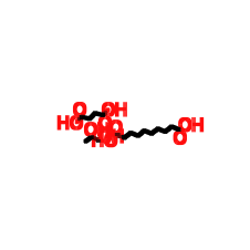 CC(O)CO.O=C(O)CCC(=O)O.O=C(O)CCCCCCCCC(=O)O